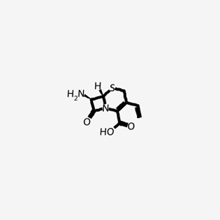 C=CC1=C(C(=O)O)N2C(=O)[C@@H](N)[C@@H]2SC1